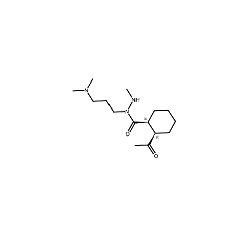 CNN(CCCN(C)C)C(=O)[C@H]1CCCC[C@H]1C(C)=O